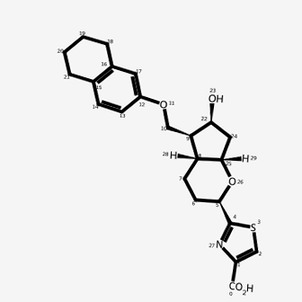 O=C(O)c1csc([C@H]2CC[C@@H]3[C@@H](COc4ccc5c(c4)CCCC5)[C@@H](O)C[C@@H]3O2)n1